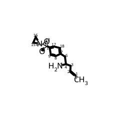 C/C=C/CC(N)Cc1ccc(S(=O)(=O)N2CC2)cc1